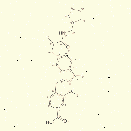 COc1cc(C(=O)O)ccc1Cc1cn(C)c2ccc(CC(C)C(=O)NCC3CCCC3)cc12